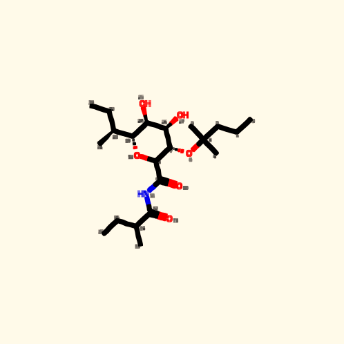 CCCC(C)(C)O[C@@H]1C(C(=O)NC(=O)C(C)CC)O[C@H]([C@@H](C)CC)[C@@H](O)[C@H]1O